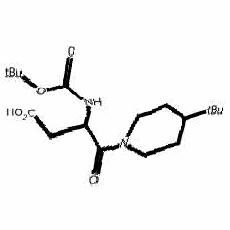 CC(C)(C)OC(=O)NC(CC(=O)O)C(=O)N1CCC(C(C)(C)C)CC1